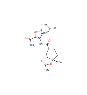 CNC(=O)O[C@]1(C(C)(C)C)CC[C@@H](C(=O)Nc2c(C(N)=O)oc3ccc(Br)cc23)CC1